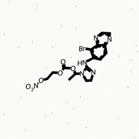 CC(OC(=O)OCCO[N+](=O)[O-])N1CCN=C1Nc1ccc2nccnc2c1Br